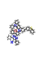 N#Cc1c(-c2ccccc2)nc(-c2ccc(-n3c4ccc(-c5ccc6sc7ccccc7c6c5)cc4c4cc5c6ccccc6n(-c6ccccc6)c5cc43)c3oc4ccccc4c23)nc1-c1ccccc1